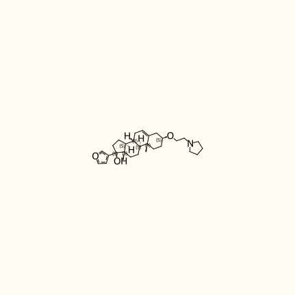 C[C@]12CC[C@H](OCCN3CCCC3)CC1=CC[C@@H]1[C@@H]2CC[C@@]2(C)[C@H]1CC[C@@]2(O)c1ccoc1